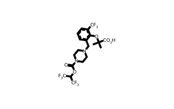 CC(C)(Oc1c(CN2CCN(C(=O)OC(C(F)(F)F)C(F)(F)F)CC2)cccc1C(F)(F)F)C(=O)O